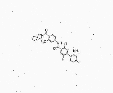 Nc1cc(F)ccc1-c1cc(Cl)c(C(=O)Nc2ccc(C(=O)N3CC4(CCC4)C3)c(C(F)(F)F)c2)cc1F